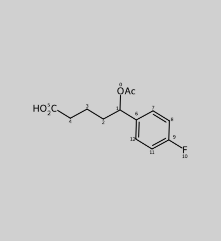 CC(=O)OC(CCCC(=O)O)c1ccc(F)cc1